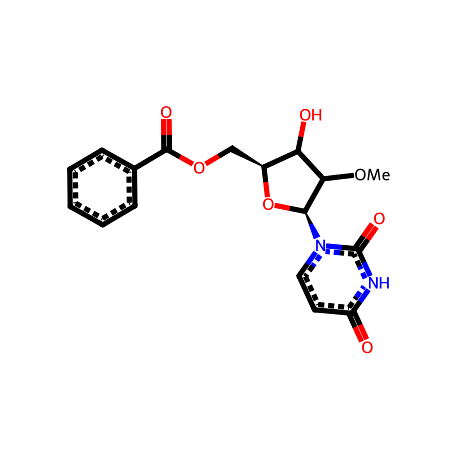 COC1C(O)[C@H](COC(=O)c2ccccc2)O[C@@H]1n1ccc(=O)[nH]c1=O